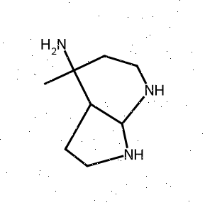 CC1(N)CCNC2NCCC21